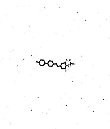 CC1CCC(C2CCC(CCC3CC(F)C(OC(F)F)C(F)C3)CC2)CC1